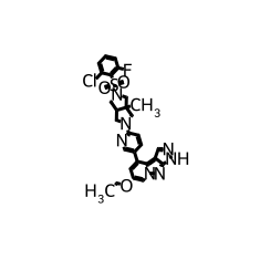 CCOc1cc(-c2ccc(N3CC4CN(S(=O)(=O)c5c(F)cccc5Cl)CC4(C)C3)nc2)c2c3cn[nH]c3nn2c1